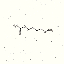 NOCCCCOC(N)=O